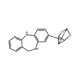 c1cnc2c(c1)CNc1cc(N3CC4CC5C(O4)C53)ccc1N2